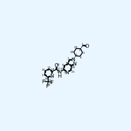 O=C[C@H]1CC[C@H](n2cc3cc(NC(=O)c4cccc(C(F)(F)F)n4)ncc3n2)CC1